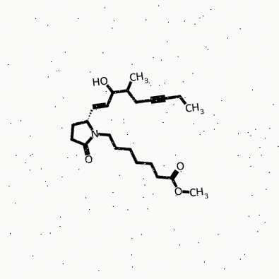 CCC#CCC(C)C(O)C=C[C@H]1CCC(=O)N1CCCCCCC(=O)OC